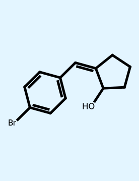 OC1CCCC1=Cc1ccc(Br)cc1